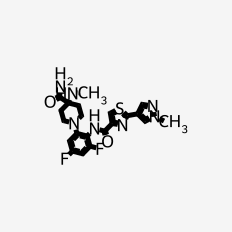 CNC1(C(N)=O)CCN(c2cc(F)cc(F)c2NC(=O)c2csc(-c3cnn(C)c3)n2)CC1